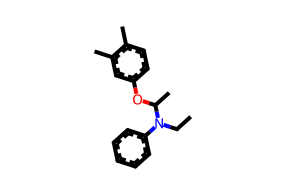 CCN(c1ccccc1)C(C)Oc1ccc(C)c(C)c1